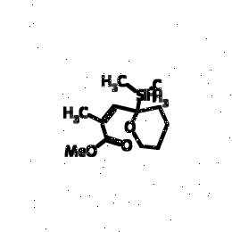 COC(=O)C(C)=CC1([SiH](C)C)CCCCO1